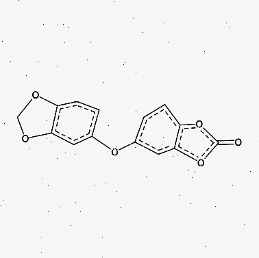 O=c1oc2ccc(Oc3ccc4c(c3)OCO4)cc2o1